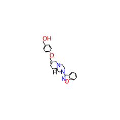 OCc1ccc(OC[C@@H]2CC[C@H]3CN(c4noc5ccccc45)CCN3C2)cc1